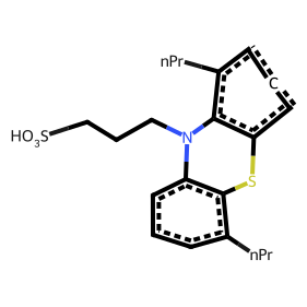 CCCc1cccc2c1Sc1cccc(CCC)c1N2CCCS(=O)(=O)O